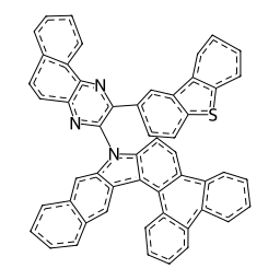 c1ccc2cc3c(cc2c1)c1c2c4ccccc4c4ccccc4c2ccc1n3-c1nc2ccc3ccccc3c2nc1-c1ccc2sc3ccccc3c2c1